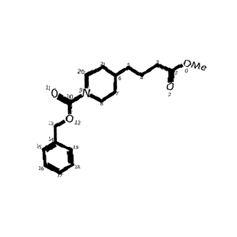 COC(=O)CCCC1CCN(C(=O)OCc2ccccc2)CC1